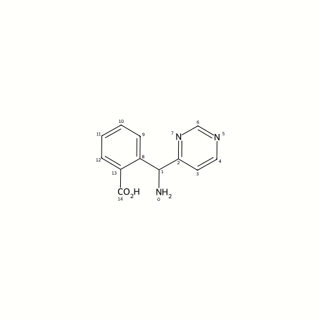 NC(c1ccncn1)c1ccccc1C(=O)O